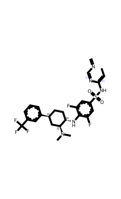 C=N/C=N\C(=C/C)NS(=O)(=O)c1cc(F)c(N[C@H]2CC[C@H](c3cccc(C(F)(F)F)c3)C[C@@H]2N(C)C)c(F)c1